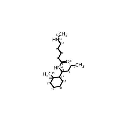 CCCC(NC(=O)CCCCNC)C1CCCCC1C